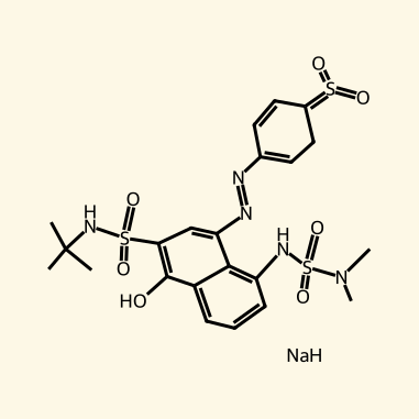 CN(C)S(=O)(=O)Nc1cccc2c(O)c(S(=O)(=O)NC(C)(C)C)cc(N=NC3=CCC(=S(=O)=O)C=C3)c12.[NaH]